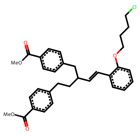 COC(=O)c1ccc(CCC(C=Cc2ccccc2OCCCCCl)Cc2ccc(C(=O)OC)cc2)cc1